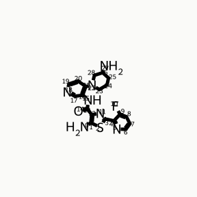 Nc1sc(-c2ncccc2F)nc1C(=O)Nc1cnccc1N1CCCC(N)C1